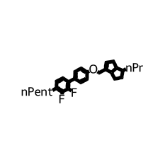 CCCCCc1ccc(-c2ccc(OCC3=CCC4C(CCC)CCC34)cc2)c(F)c1F